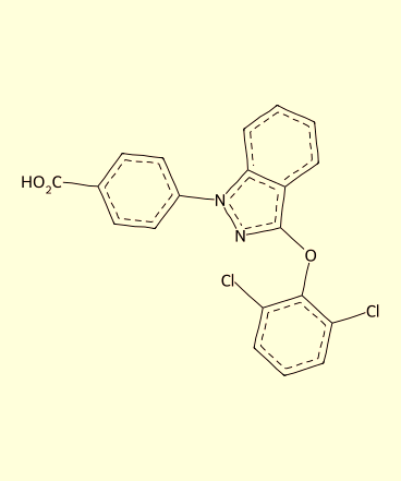 O=C(O)c1ccc(-n2nc(Oc3c(Cl)cccc3Cl)c3ccccc32)cc1